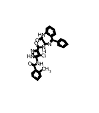 Cc1ccccc1C(=O)Nc1[nH]nc(C(=O)NC2N=C(c3ccccc3)c3ccccc3NC2=O)c1Cl